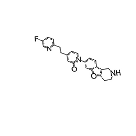 O=c1cc(CCc2ccc(F)cn2)ccn1-c1ccc2c3c(oc2c1)CCNC3